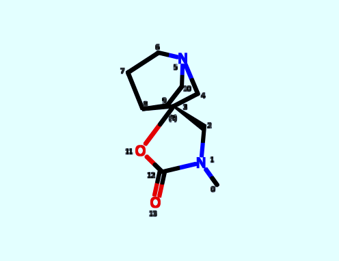 CN1C[C@@]2(CN3CCC2CC3)OC1=O